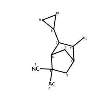 CC(=O)C1(C#N)CC2CC1C(C1CC1)C2C